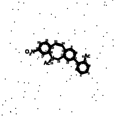 CC(=O)c1ccccc1-c1ccc2c(c1)CN(C(C)=O)c1cc([N+](=O)[O-])ccc1/C=C\2